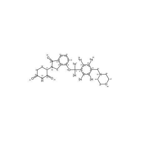 [2H]c1c([2H])c(C([2H])([2H])Oc2cccc3c2CN(C2CCC(=O)NC2=O)C3=O)c([2H])c([2H])c1CN1CCOCC1